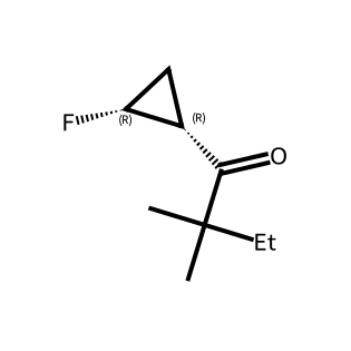 CCC(C)(C)C(=O)[C@H]1C[C@H]1F